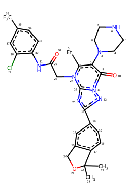 CCc1c(N2CCNCC2)c(=O)n2nc(-c3ccc4c(c3)COC4(C)C)nc2n1CC(=O)Nc1ccc(C(F)(F)F)cc1Cl